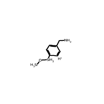 NCc1ccc([SiH2]O[SiH3])cc1.[H+]